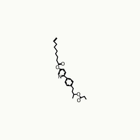 C=CCCCCCCC(=O)Oc1ccc(-c2ccc(CCC(C)OC(=O)CC)cc2)nc1